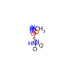 Cn1nnnc1S(=O)(=O)CCCSc1nc(-c2ccccc2)c(-c2ccccc2)[nH]1